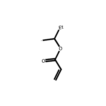 [CH2]C(CC)OC(=O)C=C